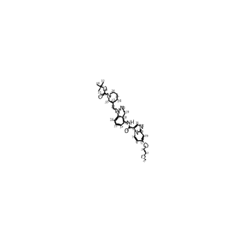 COCCOc1ccn2c(C(=O)Nc3cccc4c3cnn4CC3CCCN(C(=O)OC(C)(C)C)C3)cnc2c1